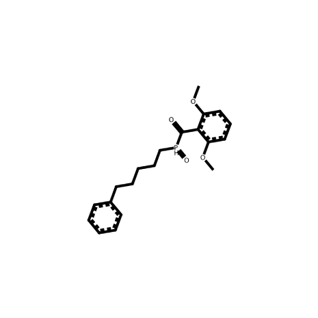 COc1cccc(OC)c1C(=O)[PH](=O)CCCCCc1ccccc1